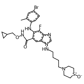 Cc1cc(Br)ccc1Nc1c(C(=O)NOCC2CC2)cc2c(ncn2NCCCCN2CC[S+]([O-])CC2)c1F